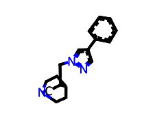 c1ccc(-c2cnn(CC3CN4CCC3CC4)c2)cc1